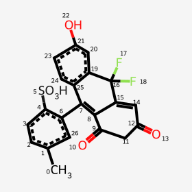 Cc1ccc(S(=O)(=O)O)c(C2=C3C(=O)CC(=O)C=C3C(F)(F)c3cc(O)ccc32)c1